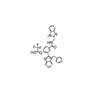 Cn1c(CNC(=O)c2cccc(-c3nc4ccccc4n3Cc3ccccc3)c2)nc2ccccc21.O=C(O)C(F)(F)F